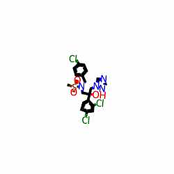 CS(=O)(=O)N(Cc1ccc(Cl)cc1)CC(O)(Cn1cncn1)c1ccc(Cl)cc1Cl